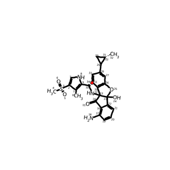 Cc1c(S(C)(=O)=O)c[nH]c1C(=O)NC12C(=O)c3c(N)cccc3C1(O)Oc1cc(C3C[C@@H]3C)ccc12